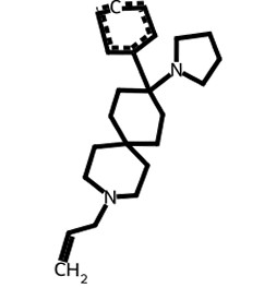 C=CCN1CCC2(CC1)CCC(c1ccccc1)(N1CCCC1)CC2